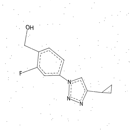 OCc1ccc(-n2cc(C3CC3)nn2)cc1F